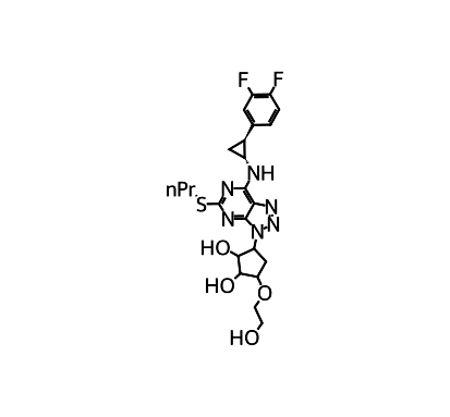 CCCSc1nc(N[C@@H]2C[C@H]2c2ccc(F)c(F)c2)c2nnn(C3CC(OCCO)C(O)C3O)c2n1